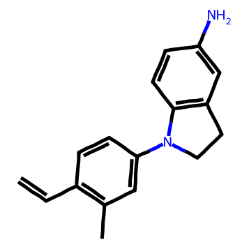 C=Cc1ccc(N2CCc3cc(N)ccc32)cc1C